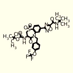 CC(C)(C)NC(=O)c1nc(-c2ccc3c(c2)N(Cc2ccc(OC(F)(F)F)cc2)C(=O)[C@@H](NC(=O)OC(C)(C)C)CS3(=O)=O)no1